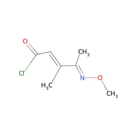 CO/N=C(C)/C(C)=C/C(=O)Cl